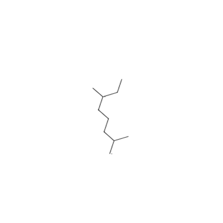 [CH2]C(C)CCC[C](C)CC